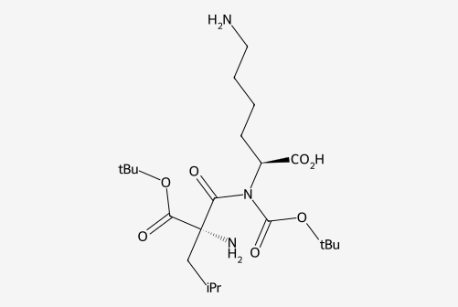 CC(C)C[C@@](N)(C(=O)OC(C)(C)C)C(=O)N(C(=O)OC(C)(C)C)[C@@H](CCCCN)C(=O)O